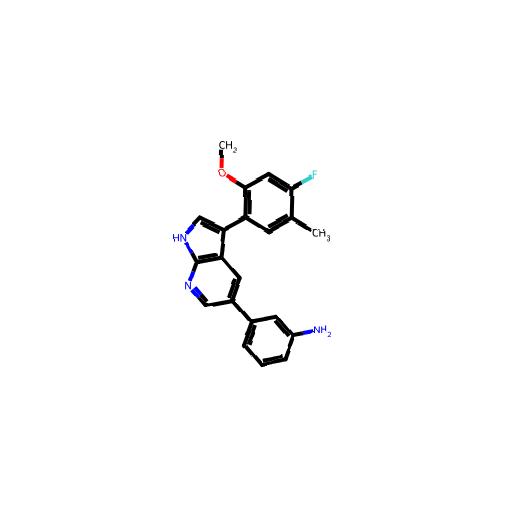 COc1cc(F)c(C)cc1-c1c[nH]c2ncc(-c3cccc(N)c3)cc12